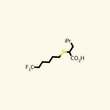 CC(C)CC(SCCCCCC(F)(F)F)C(=O)O